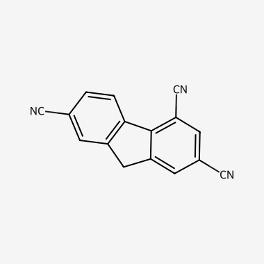 N#Cc1ccc2c(c1)Cc1cc(C#N)cc(C#N)c1-2